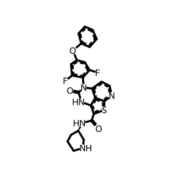 O=C(N[C@@H]1CCCNC1)c1sc2nccc3c2c1NC(=O)N3c1c(F)cc(Oc2ccccc2)cc1F